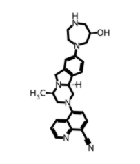 C[C@@H]1CN(c2ccc(C#N)c3ncccc23)C[C@@H]2c3ccc(N4CCNC[C@@H](O)C4)cc3CN12